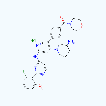 COc1cccc(F)c1-c1nccc(Nc2cc(N3CCC[C@H](N)C3)c(-c3ccc(C(=O)N4CCOCC4)cc3)cn2)n1.Cl